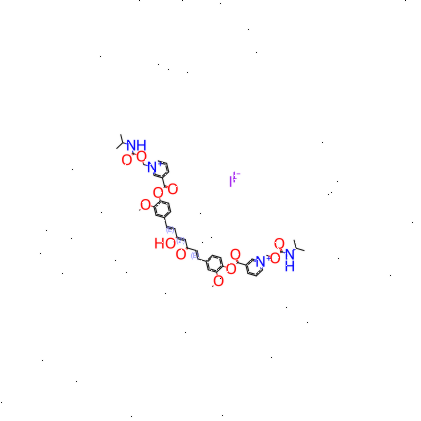 COc1cc(/C=C/C(=O)/C=C(O)/C=C/c2ccc(OC(=O)c3ccc[n+](COC(=O)NC(C)C)c3)c(OC)c2)ccc1OC(=O)c1ccc[n+](COC(=O)NC(C)C)c1.[I-].[I-]